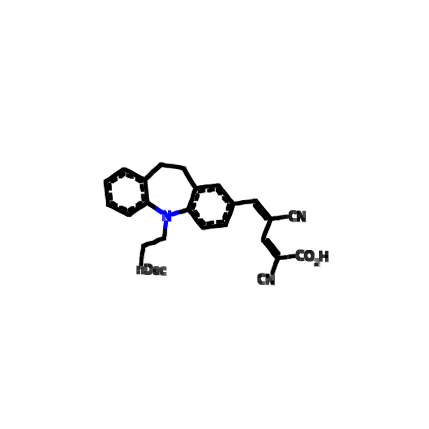 [C-]#[N+]/C(=C/C(C#N)=C\c1ccc2c(c1)CCc1ccccc1N2CCCCCCCCCCCC)C(=O)O